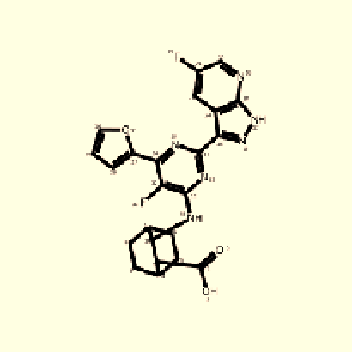 O=C(O)C1C2CCC(CC2)C1Nc1nc(-c2n[nH]c3ncc(F)cc23)nc(-c2ccco2)c1F